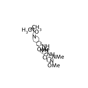 CNc1nc(OC)ccc1Nc1nc(Nc2cc3c(cc2OC)CCN(CC(=O)N(C)C)CC3)ncc1Cl